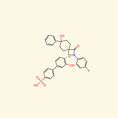 O=C1N(c2ccc(F)cc2)[C@H](c2ccc(-c3ccc(S(=O)(=O)O)cc3)cc2O)C12CCC(O)(c1ccccc1)CC2